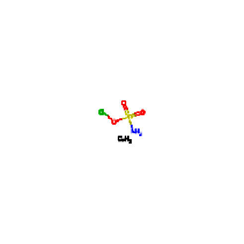 NS(=O)(=O)OCl.[CaH2]